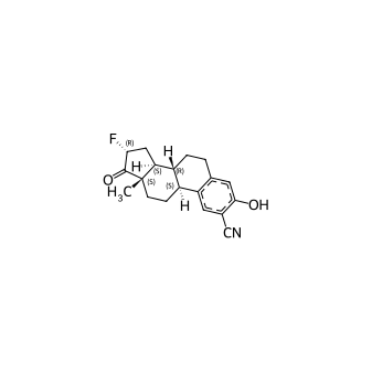 C[C@]12CC[C@@H]3c4cc(C#N)c(O)cc4CC[C@H]3[C@@H]1C[C@@H](F)C2=O